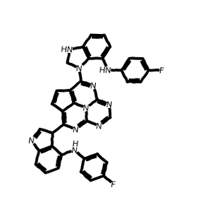 Fc1ccc(Nc2cccc3c2C(c2nc4ncnc5nc(N6CNc7cccc(Nc8ccc(F)cc8)c76)c6ccc2c6n45)C=N3)cc1